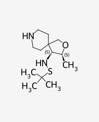 C[C@@H]1OCC2(CCNCC2)[C@@H]1NSC(C)(C)C